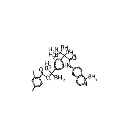 Bc1nccc2cc(NC(=O)C(B)(c3ccc(C(B)(B)OC(=O)c4ccc(C)cc4C)cc3)C(B)(B)N)ccc12